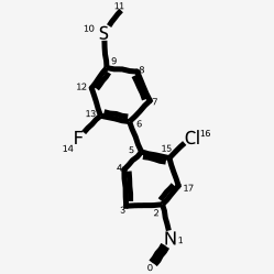 C=Nc1ccc(-c2ccc(SC)cc2F)c(Cl)c1